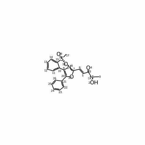 CN(O)C(=O)C=Cc1nc(-c2ccccc2S(C)(=O)=O)c(-c2ccccc2)o1